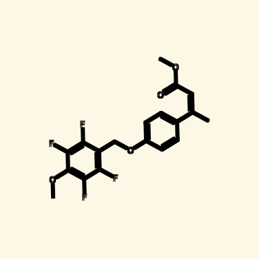 COC(=O)/C=C(/C)c1ccc(OCc2c(F)c(F)c(OC)c(F)c2F)cc1